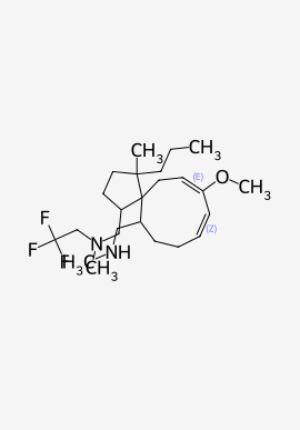 CCCC1(C)CCC(CN(C)CC(F)(F)F)C12C/C=C(OC)\C=C/CCC2CNC